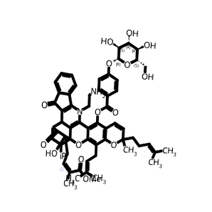 COC(=O)/C(C)=C\CC1(O)C(=O)C2CC(C(C)C)C13Oc1c(CC=C(C)C)c4c(c(OC(=O)c5ccc(O[C@H]6O[C@@H](CO)[C@H](O)[C@@H](O)[C@@H]6O)cc5)c1C1=C3C2C2=C(c3ccccc3C2=O)N1CCN)C=CC(C)(CCC=C(C)C)O4